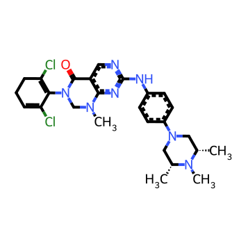 C[C@@H]1CN(c2ccc(Nc3ncc4c(n3)N(C)CN(C3=C(Cl)CCC=C3Cl)C4=O)cc2)C[C@H](C)N1C